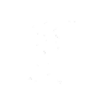 COc1ccc2nccc([C@@H](O)CN3CCC(N(Cc4ccccc4)Cc4ccccc4)CC3=O)c2c1